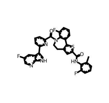 Cc1cccc(F)c1NC(=O)c1cc2c(s1)-c1cccc(F)c1N(C(=O)c1cccc(-c3c[nH]c4ncc(F)cc34)n1)CC2